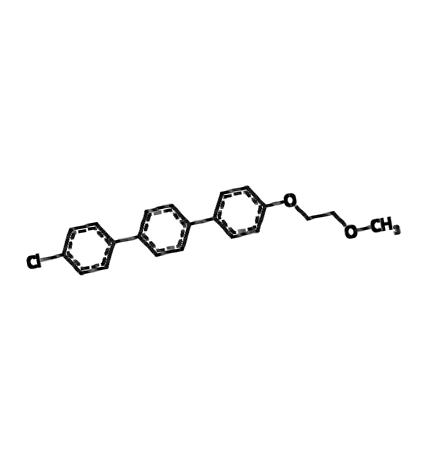 COCCOc1ccc(-c2ccc(-c3ccc(Cl)cc3)cc2)cc1